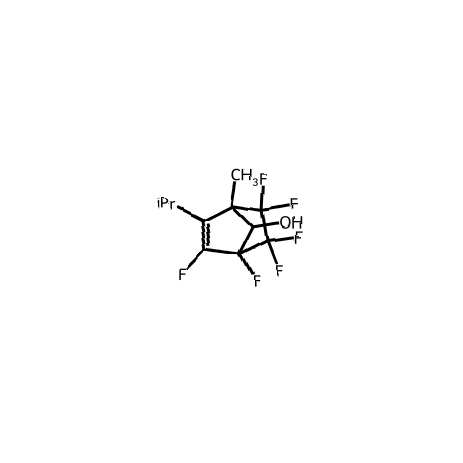 CC(C)C1=C(F)C2(F)C(O)C1(C)C(F)(F)C2(F)F